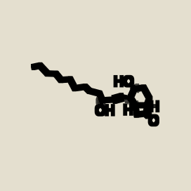 CCCCCCCCCC[C@@H](O)C#C[C@@H]1[C@H]2CC(=O)[C@H]2CC[C@@H]1O